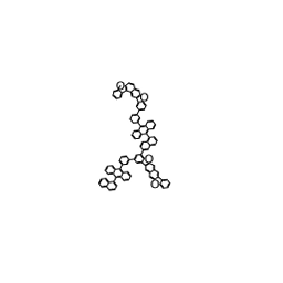 C1=C(c2ccc3oc4cc5ccc6oc7ccccc7c6c5cc4c3c2)C=C(c2c3ccccc3c(-c3cccc4cc(-c5cc(-c6cccc(-c7c8ccccc8c(-c8cccc9ccccc89)c8ccccc78)c6)cc6c5oc5cc7cc8c(cc7cc56)oc5ccccc58)ccc34)c3ccccc23)CC1